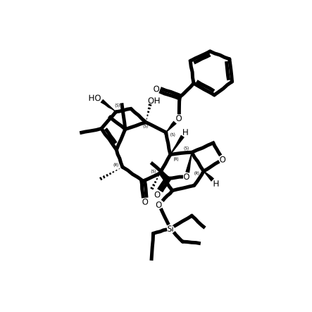 CC[Si](CC)(CC)OC1C[C@H]2OC[C@@]2(OC(C)=O)[C@H]2[C@H](OC(=O)c3ccccc3)[C@]3(O)C[C@H](O)C(C)=C([C@@H](C)C(=O)[C@]12C)C3(C)C